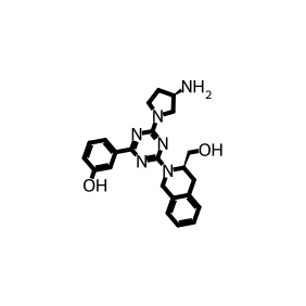 N[C@@H]1CCN(c2nc(-c3cccc(O)c3)nc(N3Cc4ccccc4C[C@@H]3CO)n2)C1